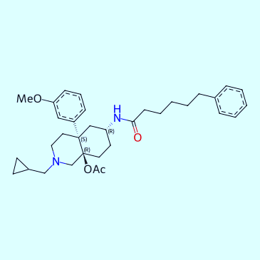 COc1cccc([C@@]23CCN(CC4CC4)C[C@@]2(OC(C)=O)CC[C@@H](NC(=O)CCCCCc2ccccc2)C3)c1